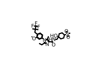 CCc1nc(C(=O)NCC2(O)CCC(S(C)(=O)=O)CC2)c(C)n1-c1ccc(CC(C)(C)C(F)(F)F)c(OC)c1